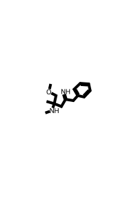 CNC(C)(COC)CC(=N)Cc1ccccc1